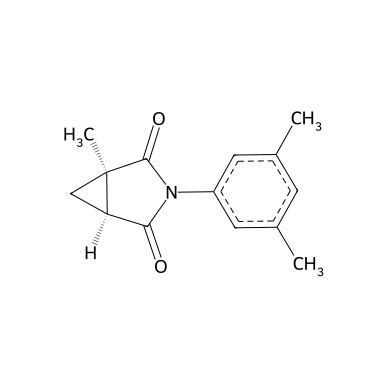 Cc1cc(C)cc(N2C(=O)[C@H]3C[C@@]3(C)C2=O)c1